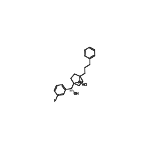 Cl.O[C@H](c1cccc(F)c1)C12CCC(CCCc3ccccc3)(CC1)N2